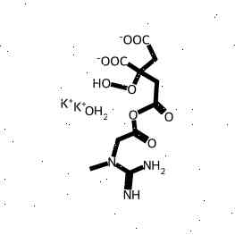 CN(CC(=O)OC(=O)CC(CC(=O)[O-])(OO)C(=O)[O-])C(=N)N.O.[K+].[K+]